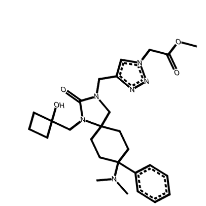 COC(=O)Cn1cc(CN2CC3(CCC(c4ccccc4)(N(C)C)CC3)N(CC3(O)CCC3)C2=O)nn1